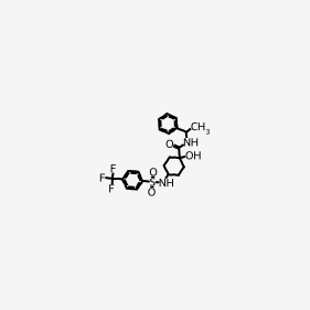 CC(NC(=O)C1(O)CCC(NS(=O)(=O)c2ccc(C(F)(F)F)cc2)CC1)c1ccccc1